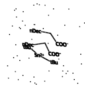 CCCCCCCCCCCC(=O)[O-].CCCCCCCCCCCC(=O)[O-].C[C](C)(C)[Sn+2][C](C)(C)C